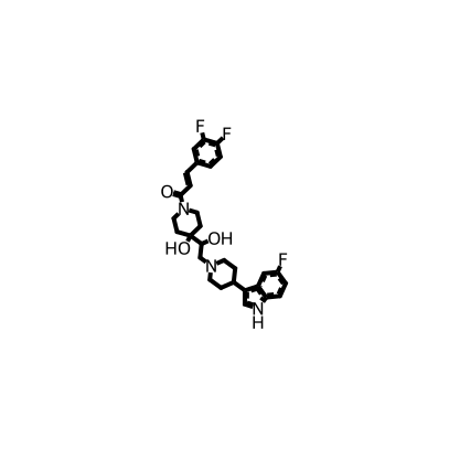 O=C(/C=C/c1ccc(F)c(F)c1)N1CCC(O)(C(O)CN2CCC(c3c[nH]c4ccc(F)cc34)CC2)CC1